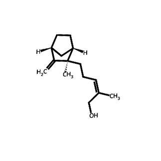 C=C1[C@@H]2CC[C@@H](C2)[C@@]1(C)CCC=C(C)CO